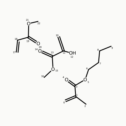 C=C(C)C(=O)OCCCC.C=C(O)C(=O)OC.C=CC(=O)OC